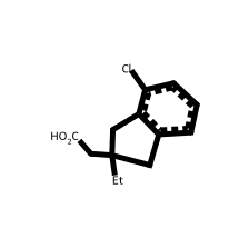 CCC1(CC(=O)O)Cc2cccc(Cl)c2C1